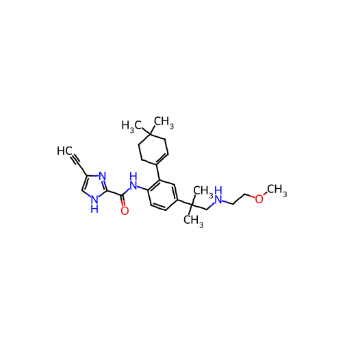 C#Cc1c[nH]c(C(=O)Nc2ccc(C(C)(C)CNCCOC)cc2C2=CCC(C)(C)CC2)n1